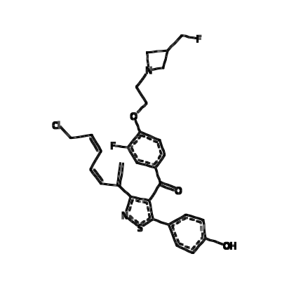 C=C(/C=C\C=C/CCl)c1nsc(-c2ccc(O)cc2)c1C(=O)c1ccc(OCCN2CC(CF)C2)c(F)c1